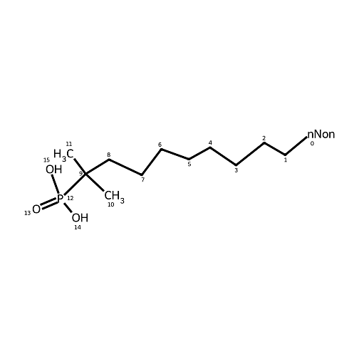 CCCCCCCCCCCCCCCCCC(C)(C)P(=O)(O)O